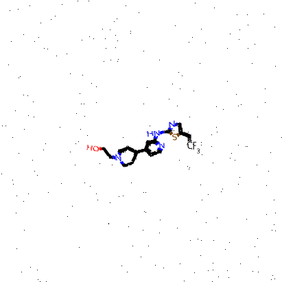 OCCN1CCC(c2ccnc(NC3=NCC(CC(F)(F)F)S3)c2)CC1